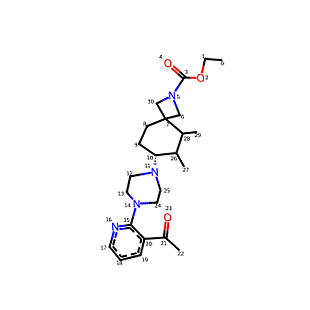 CCOC(=O)N1CC2(CC[C@@H](N3CCN(c4ncccc4C(C)=O)CC3)C(C)C2C)C1